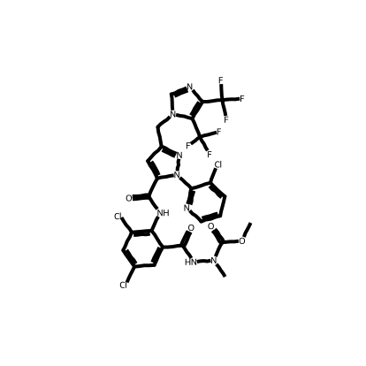 COC(=O)N(C)NC(=O)c1cc(Cl)cc(Cl)c1NC(=O)c1cc(Cn2cnc(C(F)(F)F)c2C(F)(F)F)nn1-c1ncccc1Cl